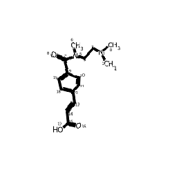 CN(C)CCN(C)C(=O)c1ccc(/C=C/C(=O)O)cc1